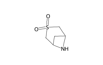 O=S1(=O)CC2CC(C1)N2